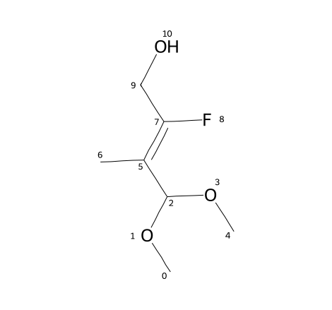 COC(OC)/C(C)=C(\F)CO